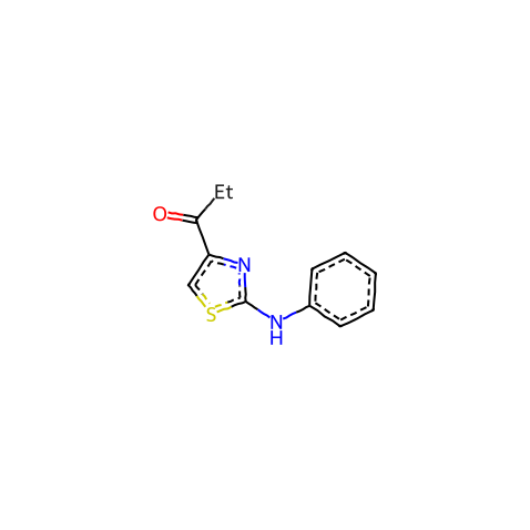 CCC(=O)c1csc(Nc2ccccc2)n1